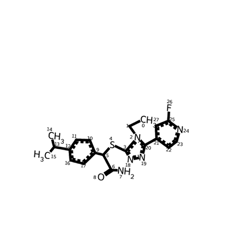 CCn1c(SC(C(N)=O)c2ccc(C(C)C)cc2)nnc1-c1ccnc(F)c1